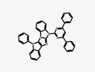 c1ccc(-c2cc(-c3ccccc3)nc(-n3c4ccccc4n4c3nc3c5ccccc5n(-c5ccccc5)c34)n2)cc1